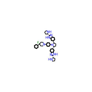 FC1(c2ccccc2)CCN(c2ccc(N3[C@@H](c4ccc5nc([C@@H]6CCCN6)[nH]c5c4)CC[C@@H]3c3ccc4nc([C@@H]5CCCN5)[nH]c4c3)cc2)CC1